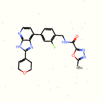 CC(C)(C)c1nnc(C(=O)NCc2ccc(-c3ccnc4[nH]c(C5=CCOCC5)nc34)cc2F)o1